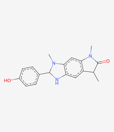 CC1C(=O)N(C)c2cc3c(cc21)NC(c1ccc(O)cc1)N3C